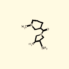 CN1CCCC(C(=O)N2CC(N)C(N)C2)C1